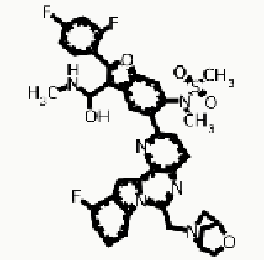 CNC(O)c1c(-c2ccc(F)cc2F)oc2cc(N(C)S(C)(=O)=O)c(-c3ccc4nc(CN5CC6CC5CO6)n5c6cccc(F)c6cc5c4n3)cc12